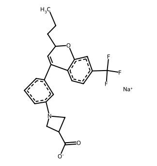 CCCC1C=C(c2cccc(N3CC(C(=O)[O-])C3)c2)c2ccc(C(F)(F)F)cc2O1.[Na+]